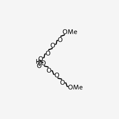 COCCOCCOCCOCCOP(=O)(I)OCCOCCOCCOCCOC